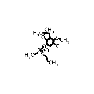 CCCSP(=O)(OCC)Oc1cc(Cl)c(SC)c2c1OC(C)(C)C2